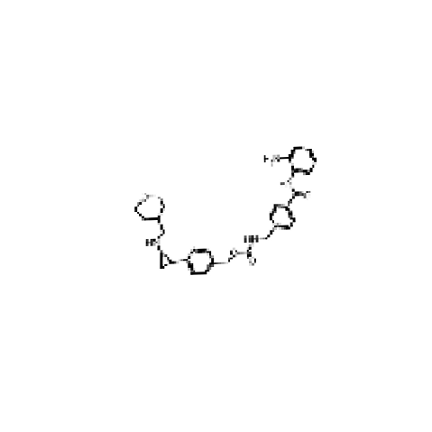 Nc1ccccc1NC(=O)c1ccc(CNC(=O)OCc2ccc(C3CC3NCC3CCOCC3)cc2)cc1